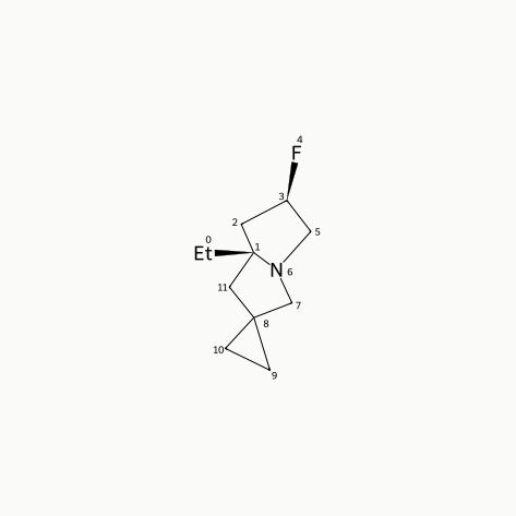 CC[C@@]12C[C@@H](F)CN1CC1(CC1)C2